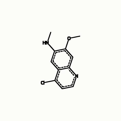 CNc1cc2c(Cl)ccnc2cc1OC